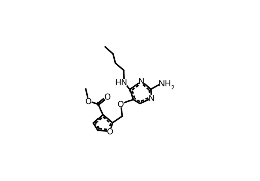 CCCCNc1nc(N)ncc1OCc1occc1C(=O)OC